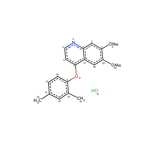 COc1cc2nccc(Oc3ccc(C)cc3C)c2cc1OC.Cl